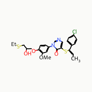 C/C=C(\Sc1cncn(-c2ccc(OCC(O)CSCC)c(OC)c2)c1=O)c1ccc(Cl)cc1